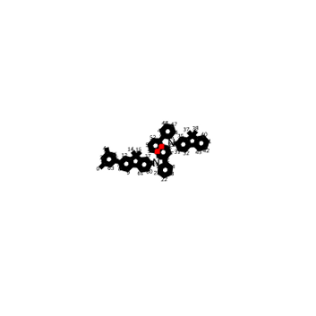 Cc1cc(C)cc(-c2ccc3c(c2)C(C)(C)c2cc(-n4c5ccccc5c5cc(N(c6ccc7c(c6)C(C)(C)c6ccccc6-7)c6ccccc6-c6ccccc6)ccc54)ccc2-3)c1